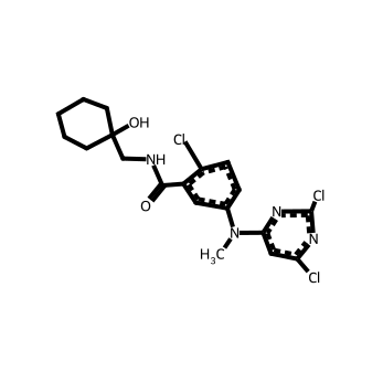 CN(c1ccc(Cl)c(C(=O)NCC2(O)CCCCC2)c1)c1cc(Cl)nc(Cl)n1